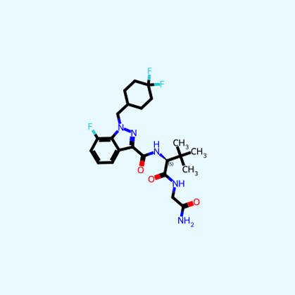 CC(C)(C)[C@H](NC(=O)c1nn(CC2CCC(F)(F)CC2)c2c(F)cccc12)C(=O)NCC(N)=O